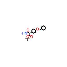 CC(C)(C)OC(=O)C(C([NH])=O)c1ccc(OCc2ccccc2)cc1